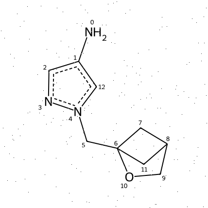 Nc1cnn(CC23CC(CO2)C3)c1